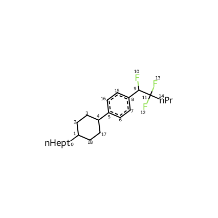 CCCCCCCC1CCC(c2ccc(C(F)C(F)(F)CCC)cc2)CC1